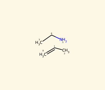 C=CC.CCN